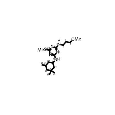 COCCCNc1nc(NC2CC(C)CC(C)(C)C2)nc(SC)n1